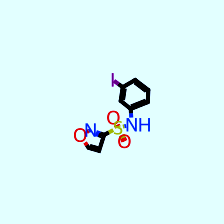 O=S(=O)(Nc1cccc(I)c1)c1ccon1